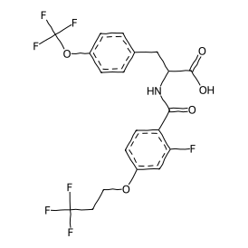 O=C(NC(Cc1ccc(OC(F)(F)F)cc1)C(=O)O)c1ccc(OCCC(F)(F)F)cc1F